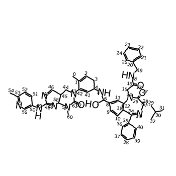 CC1=CCC(NC(O)c2ccc3c(c2)N(CC(=O)NCc2ccccc2)C(=O)[C@H](CC(C)C)N=C3c2ccccc2)C=C1N1CC2C=NC(Nc3ccc(C)nc3)=NC2N(C)C1=O